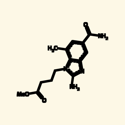 COC(=O)CCCn1c(N)nc2cc(C(N)=O)cc(C)c21